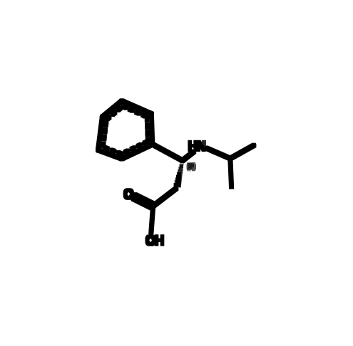 CC(C)N[C@H](CC(=O)O)c1ccccc1